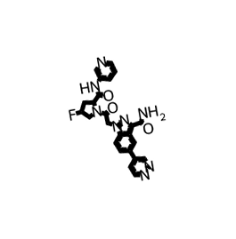 NC(=O)c1nn(CC(=O)N2CC(F)CC2C(=O)Nc2cccnc2)c2ccc(-c3ccnnc3)cc12